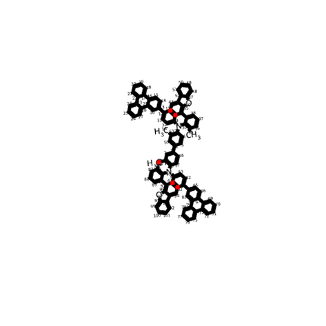 Cc1cc(-c2ccc(N(c3ccc(-c4ccc5c6ccccc6c6ccccc6c5c4)cc3)c3c(C)cccc3-c3cccc4c3oc3ccccc34)c(C)c2)ccc1N(c1ccc(-c2ccc3c4ccccc4c4ccccc4c3c2)cc1)c1c(C)cccc1-c1cccc2c1oc1ccccc12